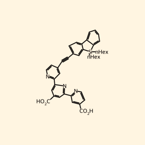 CCCCCC[Si]1(CCCCCC)c2ccccc2-c2ccc(C#Cc3ccnc(-c4cc(C(=O)O)cc(-c5cc(C(=O)O)ccn5)n4)c3)cc21